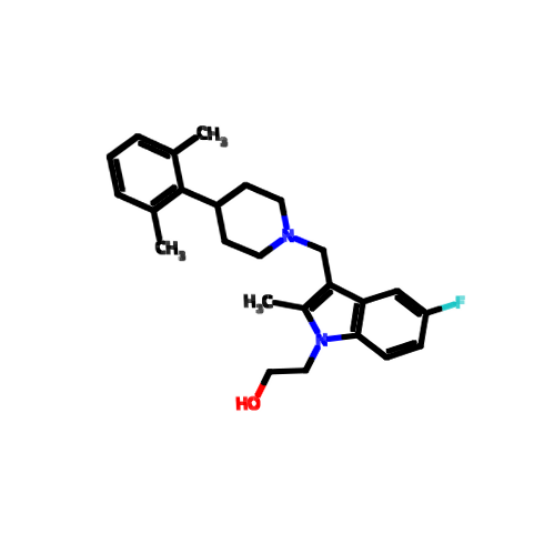 Cc1cccc(C)c1C1CCN(Cc2c(C)n(CCO)c3ccc(F)cc23)CC1